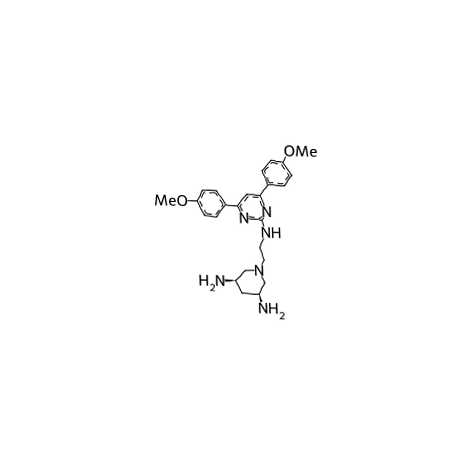 COc1ccc(-c2cc(-c3ccc(OC)cc3)nc(NCCN3C[C@H](N)C[C@H](N)C3)n2)cc1